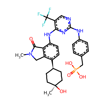 CN1Cc2c(c(Nc3nc(Nc4ccc(CP(=O)(O)O)cc4)ncc3C(F)(F)F)ccc2[C@H]2CC[C@@](C)(O)CC2)C1=O